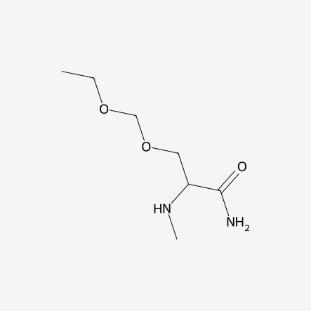 CCOCOCC(NC)C(N)=O